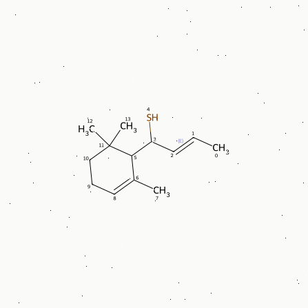 C/C=C/C(S)C1C(C)=CCCC1(C)C